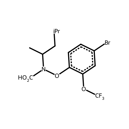 CC(C)CC(C)N(Oc1ccc(Br)cc1OC(F)(F)F)C(=O)O